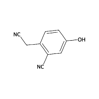 N#CCc1ccc(O)cc1C#N